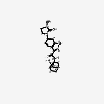 CCCN1CCN(c2ccc3c(C(=O)N[C@@H]4CN5CCC4CC5)n[nH]c3c2)C1=O